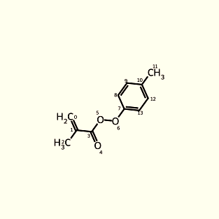 C=C(C)C(=O)OOc1ccc(C)cc1